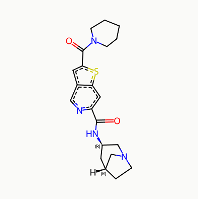 O=C(N[C@@H]1C[C@H]2CCN(C2)C1)c1cc2sc(C(=O)N3CCCCC3)cc2cn1